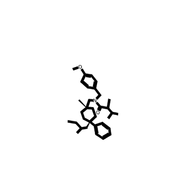 CCC(C)C[C@]1(c2ccccc2)CC[C@@](C)(CN(Cc2ccc(OC)cc2)C(=O)C(C)C(C)C)CC1